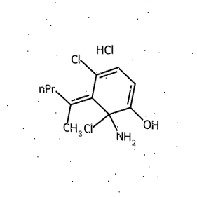 CCCC(C)=C1C(Cl)=CC=C(O)C1(N)Cl.Cl